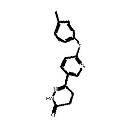 Cc1ccc(Sc2ccc(C3=NNC(=O)CC3)cn2)cc1